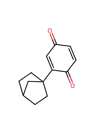 O=C1C=CC(=O)C(C23CCC(CC2)C3)=C1